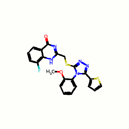 COc1ccccc1-n1c(SCc2nc(=O)c3cccc(F)c3[nH]2)nnc1-c1cccs1